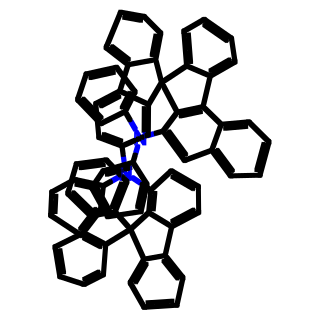 c1ccc(N(c2ccc3c(c2)C2(c4ccccc4-3)c3ccccc3-c3c2c(N(c2ccccc2)c2ccccc2)cc2ccccc32)c2cccc3c2C(c2ccccc2)(c2ccccc2)c2ccccc2-3)cc1